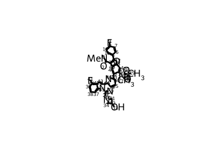 CNC(=O)c1c(-c2ccc(F)cc2)oc2cc(N(C)S(C)(=O)=O)c(-c3ccc4nc(CN5CC(O)C5)n5c6cccc(F)c6cc5c4n3)cc12